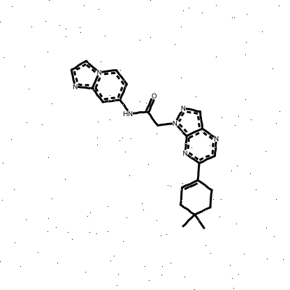 CC1(C)CC=C(c2cnc3cnn(CC(=O)Nc4ccn5ccnc5c4)c3n2)CC1